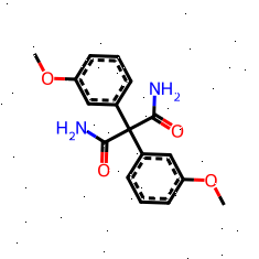 COc1cccc(C(C(N)=O)(C(N)=O)c2cccc(OC)c2)c1